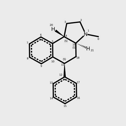 CN1CC[C@H]2c3ccccc3[C@H](c3ccccc3)C[C@@H]21